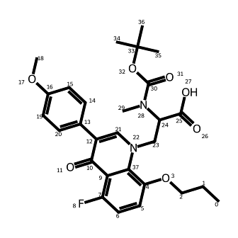 CCCOc1ccc(F)c2c(=O)c(-c3ccc(OC)cc3)cn(CC(C(=O)O)N(C)C(=O)OC(C)(C)C)c12